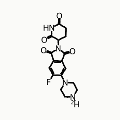 [2H]N1CCN(c2cc3c(cc2F)C(=O)N(C2CCC(=O)NC2=O)C3=O)CC1